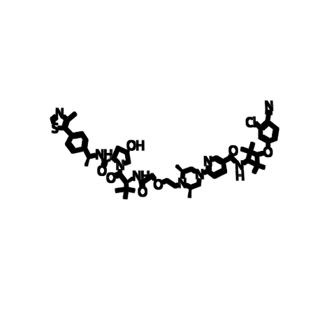 Cc1ncsc1-c1ccc([C@H](C)NC(=O)[C@@H]2C[C@@H](O)CN2C(=O)[C@@H](NC(=O)COCCN2[C@H](C)CN(c3ccc(C(=O)NC4C(C)(C)C(Oc5ccc(C#N)c(Cl)c5)C4(C)C)cn3)C[C@@H]2C)C(C)(C)C)cc1